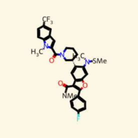 CNC(=O)c1c(-c2ccc(F)cc2)oc2cc(N(C)SC)c([C@H]3CCCN(C(=O)c4cc5cc(C(F)(F)F)ccc5n4C)C3)cc12